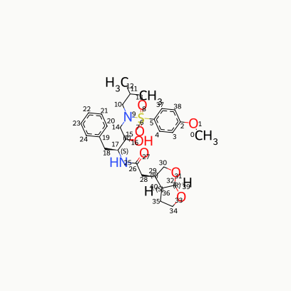 COc1ccc(S(=O)(=O)N(CC(C)C)C[C@@H](O)[C@H](Cc2ccccc2)NC(=O)C[C@H]2CO[C@H]3OCC[C@@H]23)cc1